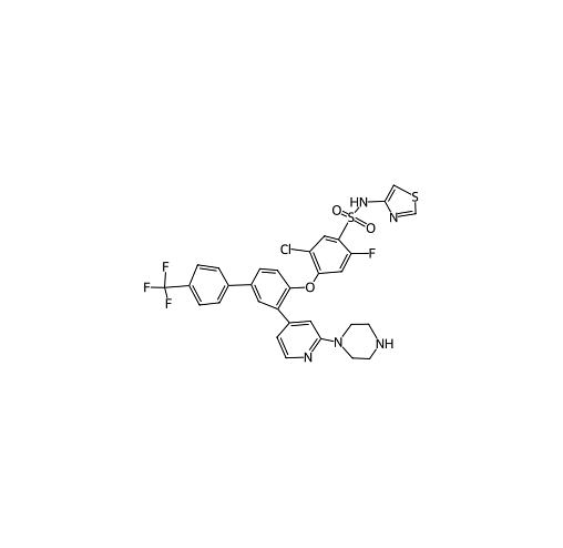 O=S(=O)(Nc1cscn1)c1cc(Cl)c(Oc2ccc(-c3ccc(C(F)(F)F)cc3)cc2-c2ccnc(N3CCNCC3)c2)cc1F